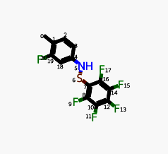 Cc1ccc(NSc2c(F)c(F)c(F)c(F)c2F)cc1F